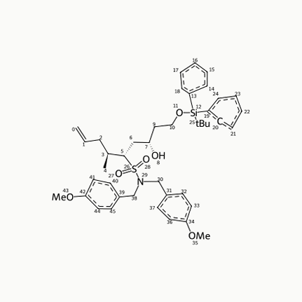 C=CC[C@H](C)[C@H](C[C@@H](O)CCO[Si](c1ccccc1)(c1ccccc1)C(C)(C)C)S(=O)(=O)N(Cc1ccc(OC)cc1)Cc1ccc(OC)cc1